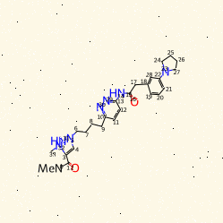 CNC(=O)C1=CN(CCCCc2ccc(NC(=O)Cc3cccc(N4CCCC4)c3)nn2)NN1C